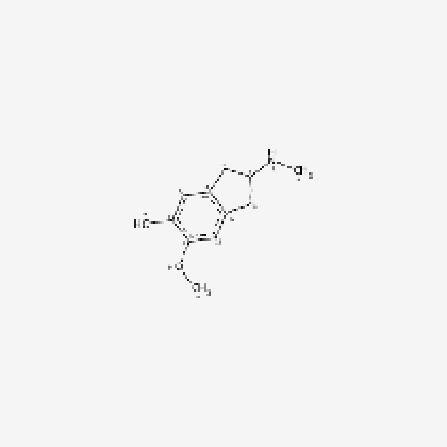 CNC1Cc2cc(O)c(OC)cc2C1